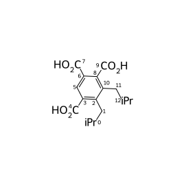 CC(C)Cc1c(C(=O)O)cc(C(=O)O)c(C(=O)O)c1CC(C)C